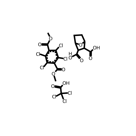 COC(=O)c1c(Cl)c(Cl)c(C(=O)OC)c(Cl)c1Cl.O=C(O)C(Cl)(Cl)Cl.O=C(O)C1C2CCC(O2)C1C(=O)O